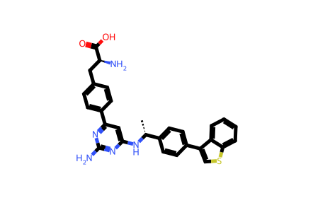 C[C@@H](Nc1cc(-c2ccc(C[C@H](N)C(=O)O)cc2)nc(N)n1)c1ccc(-c2csc3ccccc23)cc1